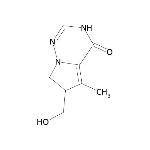 CC1=C2C(=O)NC=NN2CC1CO